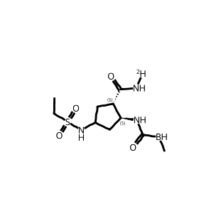 [2H]NC(=O)[C@H]1CC(NS(=O)(=O)CC)C[C@@H]1NC(=O)BC